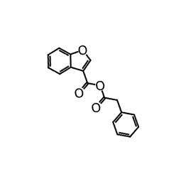 O=C(Cc1ccccc1)OC(=O)c1coc2ccccc12